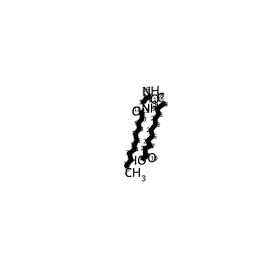 CCCCCCCCCCCC(=O)NCC(N)=O.CCCCCCCCCCCC(=O)O